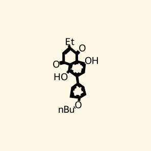 CCCCOc1ccc(-c2cc(O)c3c(c2O)C(=O)C=C(CC)C3=O)cc1